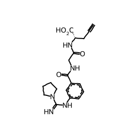 C#CC[C@H](NC(=O)CNC(=O)c1cccc(NC(=N)N2CCCC2)c1)C(=O)O